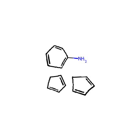 C1=CCC=C1.C1=CCC=C1.Nc1ccccc1